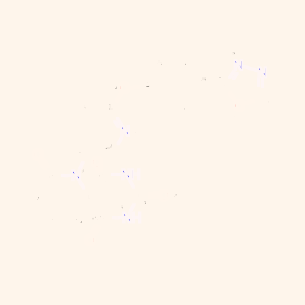 Cc1cc(Oc2ccc(N3C(=O)CCCC34C(=O)NC(=O)NC4=O)cn2)ccc1-c1nnco1